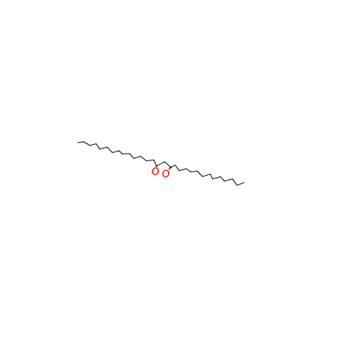 CCCCCCCCCCCCCCC(=O)CC(=O)CCCCCCCCCCCCC